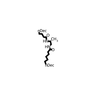 CCCCCCCCCCCCCCCC(=O)NC[C@@H](C)NC(=O)CCCCCCCCCCCCC